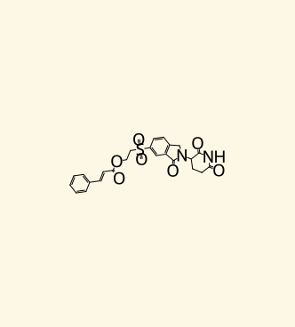 O=C1CCC(N2Cc3ccc(S(=O)(=O)CCOC(=O)C=Cc4ccccc4)cc3C2=O)C(=O)N1